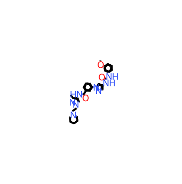 COc1cccc(NC(=O)Nc2cnn(-c3cccc(C(=O)Nc4cn(CCN5CCCCC5)nc4C)c3)c2)c1